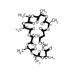 CCCC(=O)O[C@@H](C)C(=O)O[C@H](C)C(=O)O[C@H](C)C(=O)O[C@H](C)C(=O)O[C@H](C)C(=O)O[C@H](C)C(=O)O[C@H](C)C(=O)O[C@H](C)C(=O)OO